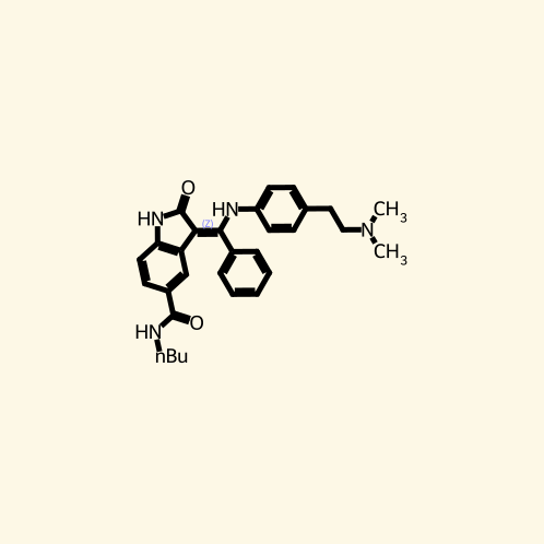 CCCCNC(=O)c1ccc2c(c1)/C(=C(/Nc1ccc(CCN(C)C)cc1)c1ccccc1)C(=O)N2